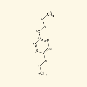 CC[CH]c1ccc(OCCC)cc1